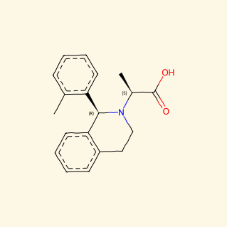 Cc1ccccc1[C@@H]1c2ccccc2CCN1[C@@H](C)C(=O)O